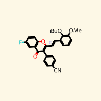 COc1cccc(/C=C/c2oc3ccc(F)cc3c(=O)c2-c2ccc(C#N)cc2)c1OCC(C)C